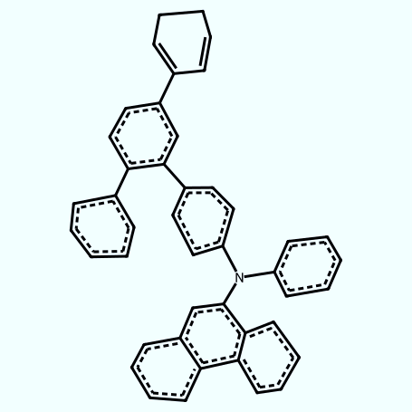 C1=CC(c2ccc(-c3ccccc3)c(-c3ccc(N(c4ccccc4)c4cc5ccccc5c5ccccc45)cc3)c2)=CCC1